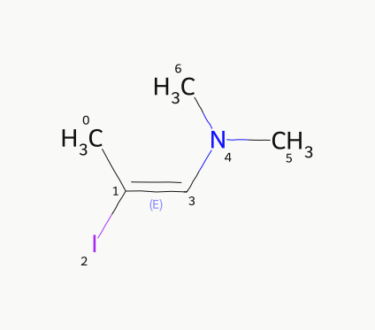 C/C(I)=C\N(C)C